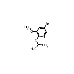 COc1cc(Br)cnc1OC(C)C